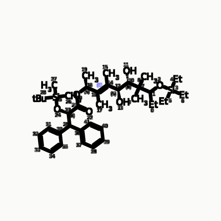 CCC(O[Si](CC)(CC)CC)C(C)(C)[C@@H](O)[C@@H](O)/C(C)=C(\C)[C@H](C)OC(=O)[C@H](O[Si](C)(C)C(C)(C)C)C(c1ccccc1)c1ccccc1